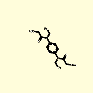 CC(=O)OCC(=O)N(CC(C)C)c1ccc(N(CC(C)C)C(=O)COC(C)=O)cc1